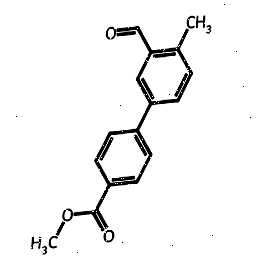 COC(=O)c1ccc(-c2ccc(C)c(C=O)c2)cc1